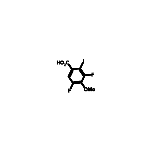 COc1c(F)cc(C(=O)O)c(I)c1F